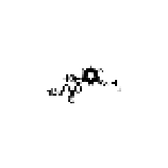 CCCCOC(=O)OB(O)c1cccc([AsH2])c1